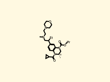 CCC(CN(C)CCN1CCOCC1)c1ccc2c(c1)N(C(=O)OC(C)C)C[C@H](C)N2C(=O)C1CC1